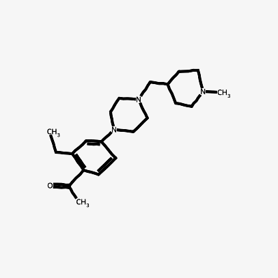 CCc1cc(N2CCN(CC3CCN(C)CC3)CC2)ccc1C(C)=O